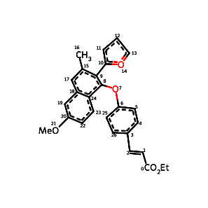 CCOC(=O)/C=C/c1ccc(Oc2c(-c3ccco3)c(C)cc3cc(OC)ccc23)cc1